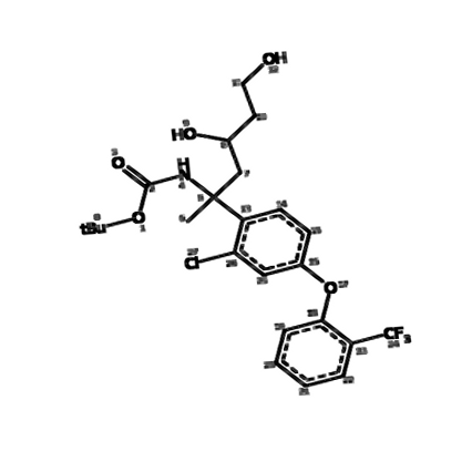 CC(C)(C)OC(=O)NC(C)(CC(O)CCO)c1ccc(Oc2ccccc2C(F)(F)F)cc1Cl